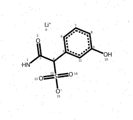 [Li+].[NH]C(=O)C(c1cccc(O)c1)S(=O)(=O)[O-]